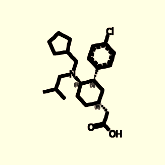 CC(C)CN(CC1CCCC1)[C@@H]1CC[C@@H](CC(=O)O)C[C@H]1c1ccc(Cl)cc1